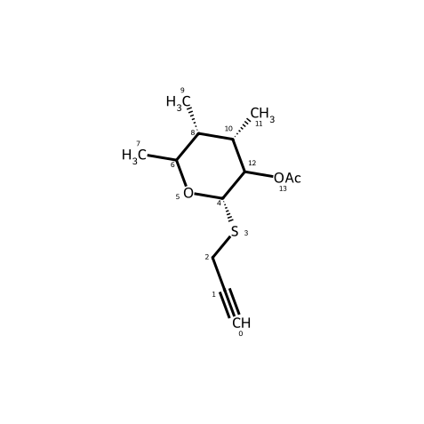 C#CCS[C@@H]1OC(C)[C@H](C)[C@H](C)C1OC(C)=O